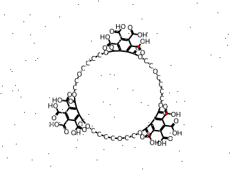 O=C(O)c1c(C(=O)O)c(C(=O)O)c2c(c1C(=O)O)C(=O)OCCCCOCCOC(=O)c1c(C(=O)O)c(C(=O)O)c(C(=O)O)c(C(=O)O)c1C(=O)OCCCCOCCOC(=O)c1c(C(=O)O)c(C(=O)O)c(C(=O)O)c(C(=O)O)c1C(=O)OCCCCOCCOC2=O